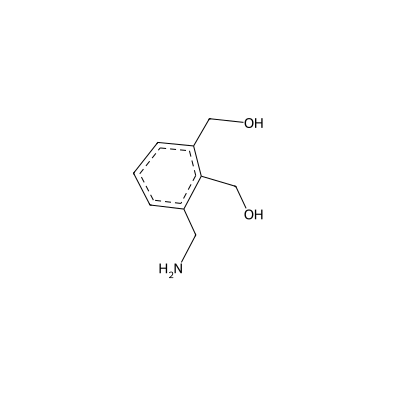 NCc1cccc(CO)c1CO